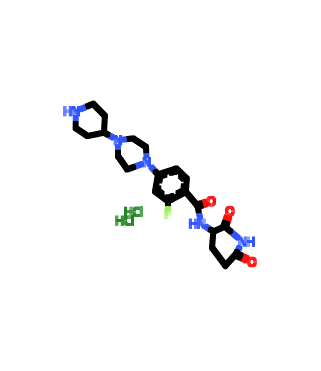 Cl.Cl.O=C1CCC(NC(=O)c2ccc(N3CCN(C4CCNCC4)CC3)cc2F)C(=O)N1